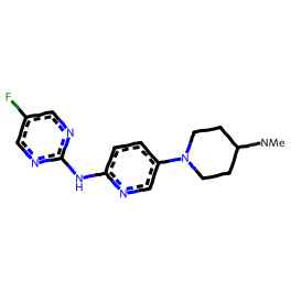 CNC1CCN(c2ccc(Nc3ncc(F)cn3)nc2)CC1